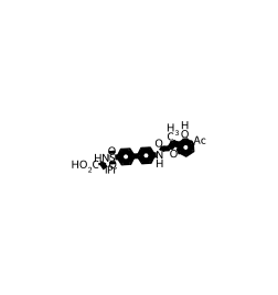 CC(=O)c1ccc2oc(C(=O)Nc3ccc(-c4ccc(S(=O)(=O)N[C@H](C(=O)O)C(C)C)cc4)cc3)c(C)c2c1O